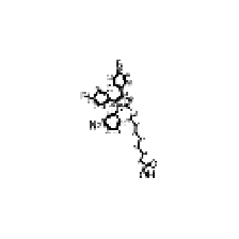 O=C(O)CCCCCCCOc1nc(-c2ccc(F)cc2)c(-c2ccc(F)cc2)n1-c1ccccc1.[NaH]